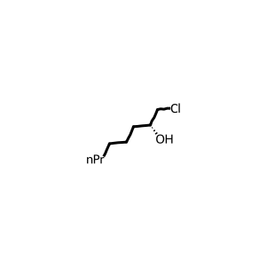 CCCCCC[C@@H](O)CCl